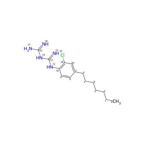 CCCCCCCc1ccc(NC(=N)NC(=N)N)c(Cl)c1